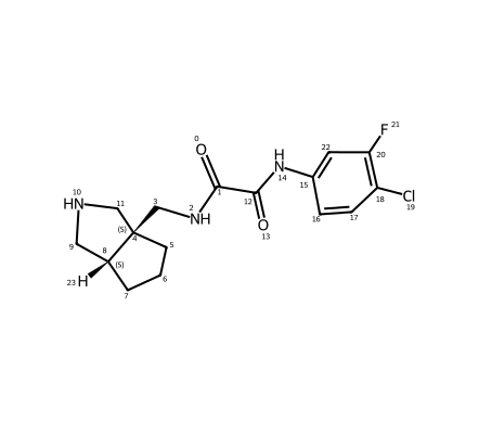 O=C(NC[C@@]12CCC[C@@H]1CNC2)C(=O)Nc1ccc(Cl)c(F)c1